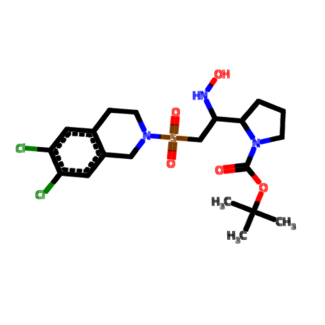 CC(C)(C)OC(=O)N1CCCC1C(CS(=O)(=O)N1CCc2cc(Cl)c(Cl)cc2C1)NO